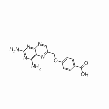 Nc1nc(N)c2nc(COc3ccc(C(=O)O)cc3)cnc2n1